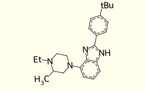 CCN1CCN(c2cccc3[nH]c(-c4ccc(C(C)(C)C)cc4)nc23)CC1C